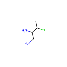 CC(Cl)C(N)CN